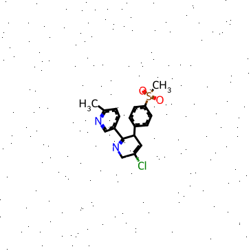 Cc1ccc(C2=NCC(Cl)=CC2c2ccc(S(C)(=O)=O)cc2)cn1